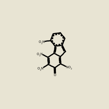 O=C1C([N+](=O)[O-])=C2C=c3cccc([N+](=O)[O-])c3=C2C([N+](=O)[O-])=C1[N+](=O)[O-]